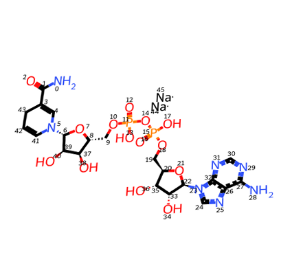 NC(=O)C1=CN([C@@H]2O[C@H](COP(=O)(O)OP(=O)(O)OC[C@H]3O[C@@H](n4cnc5c(N)ncnc54)[C@H](O)[C@@H]3O)[C@@H](O)[C@H]2O)C=CC1.[Na].[Na]